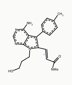 CNC(=O)/C=C/c1c(-c2ccc(C)cc2)c2c(N)ncnc2n1CCCO